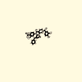 CNC(=O)c1ccc(-n2c(=O)c3c(n4ncc(Cc5ccccc5)c24)CN(C(=O)c2ccc(Br)c(Cl)c2)CC3)cc1Cl